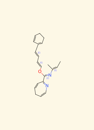 C/C=C(C)/N=C(\O/C=C/C=C/C1=CCCC=C1)C1=NC=CCC=C1